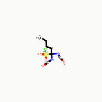 CCCCC(N=C=O)(N=C=O)S(=O)(=O)Cl